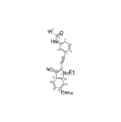 CCn1c(C#Cc2cccc(NC(=O)C(C)C)c2)c(C#N)c2ccc(OC)cc21